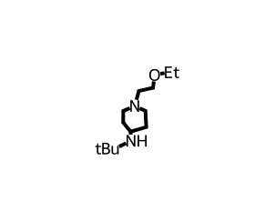 CCOCCN1CCC(NC(C)(C)C)CC1